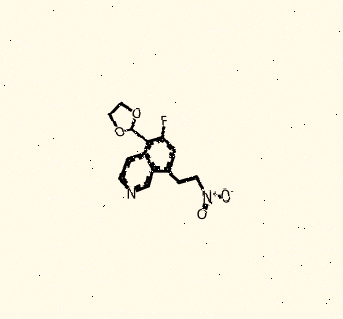 O=[N+]([O-])CCc1cc(F)c(C2OCCO2)c2ccncc12